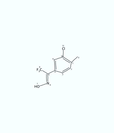 Cc1ccc(C(=NO)C(F)(F)F)cc1Cl